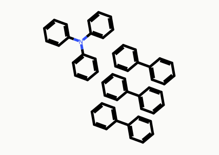 c1ccc(-c2ccccc2)cc1.c1ccc(-c2ccccc2)cc1.c1ccc(-c2ccccc2)cc1.c1ccc(N(c2ccccc2)c2ccccc2)cc1